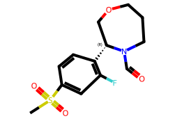 CS(=O)(=O)c1ccc([C@@H]2COCCCN2C=O)c(F)c1